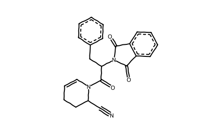 N#CC1CCC=CN1C(=O)C(Cc1ccccc1)N1C(=O)c2ccccc2C1=O